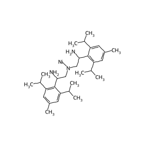 Cc1cc(C(C)C)c(C(N)C[N]([Ni])CC(N)c2c(C(C)C)cc(C)cc2C(C)C)c(C(C)C)c1